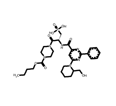 CCCCOC(=O)N1CCN(C(=O)[C@H](CP(=O)(O)O)NC(=O)c2cc(N3CCCCC3CO)nc(-c3ccccc3)n2)CC1